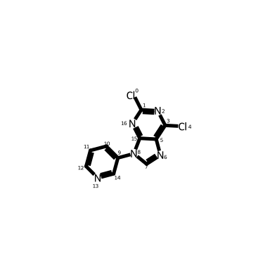 Clc1nc(Cl)c2ncn(-c3cccnc3)c2n1